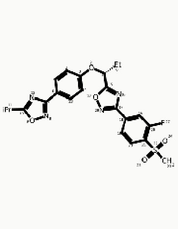 CC[C@@H](Oc1ccc(-c2noc(C(C)C)n2)cc1)c1nc(-c2ccc(S(C)(=O)=O)c(F)c2)no1